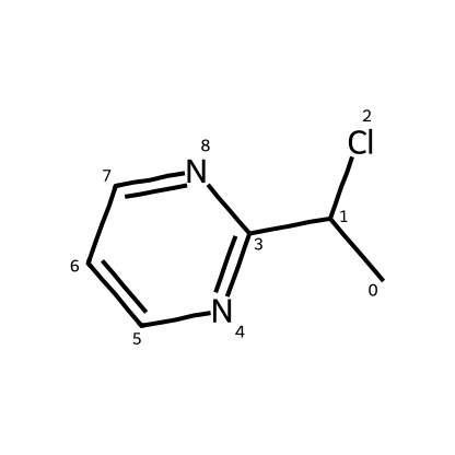 CC(Cl)c1ncccn1